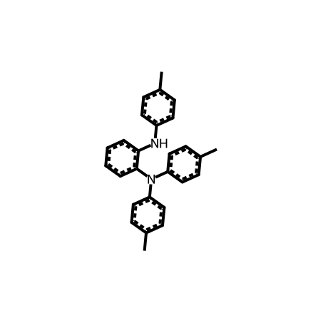 Cc1ccc(Nc2ccccc2N(c2ccc(C)cc2)c2ccc(C)cc2)cc1